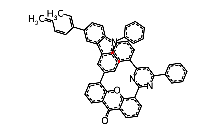 C=C/C=C\C(=C/C)c1ccc2c(c1)c1cc(-c3cccc4c(=O)c5cccc(-c6nc(-c7ccccc7)cc(-c7ccccc7)n6)c5oc34)ccc1n2-c1ccccc1